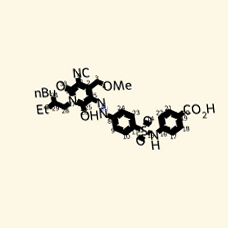 [C-]#[N+]c1c(COC)c(/N=N/c2ccc(S(=O)(=O)Nc3ccc(C(=O)O)cc3)cc2)c(O)n(CC(CC)CCCC)c1=O